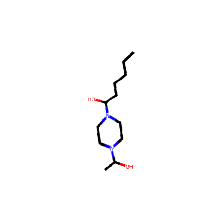 CCCCCC(O)N1CCN(C(C)O)CC1